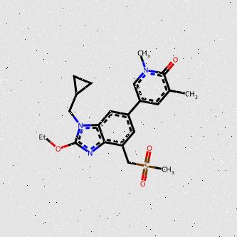 CCOc1nc2c(CS(C)(=O)=O)cc(-c3cc(C)c(=O)n(C)c3)cc2n1CC1CC1